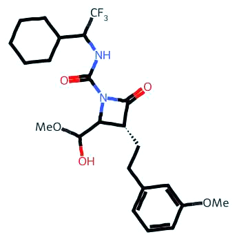 COc1cccc(CC[C@H]2C(=O)N(C(=O)NC(C3CCCCC3)C(F)(F)F)C2C(O)OC)c1